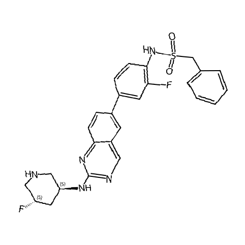 O=S(=O)(Cc1ccccc1)Nc1ccc(-c2ccc3nc(N[C@@H]4CNC[C@@H](F)C4)ncc3c2)cc1F